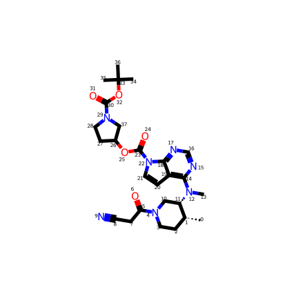 C[C@@H]1CCN(C(=O)CC#N)C[C@@H]1N(C)c1ncnc2c1ccn2C(=O)OC1CCN(C(=O)OC(C)(C)C)C1